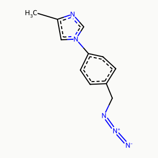 Cc1cn(-c2ccc(CN=[N+]=[N-])cc2)cn1